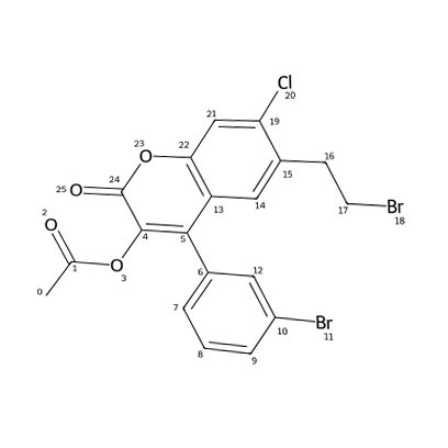 CC(=O)Oc1c(-c2cccc(Br)c2)c2cc(CCBr)c(Cl)cc2oc1=O